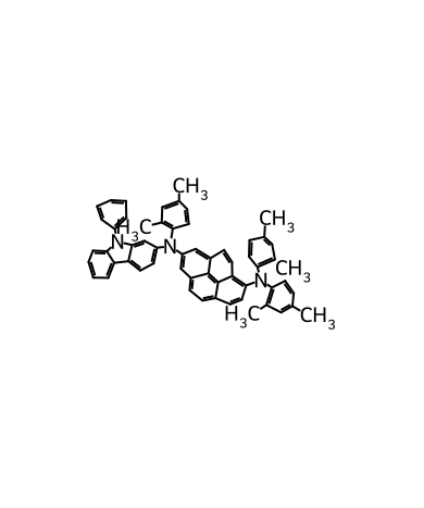 Cc1ccc(N(c2cc3ccc4ccc(N(c5ccc(C)cc5C)c5ccc(C)cc5C)c5ccc(c2)c3c45)c2ccc3c4ccccc4n(-c4ccccc4)c3c2)c(C)c1